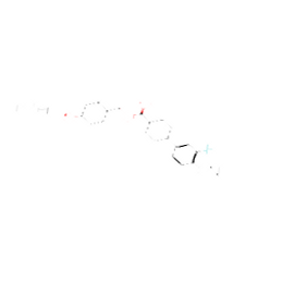 CCCCCOC1CCC(COC(=O)C2CCC(c3ccc(C#N)c(F)c3)CC2)CC1